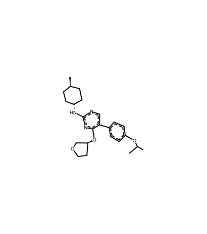 CC(C)Oc1ccc(-c2cnc(N[C@H]3CC[C@H](C)CC3)nc2O[C@H]2CCOC2)cc1